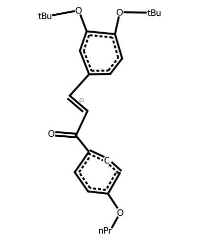 CCCOc1ccc(C(=O)/C=C/c2ccc(OC(C)(C)C)c(OC(C)(C)C)c2)cc1